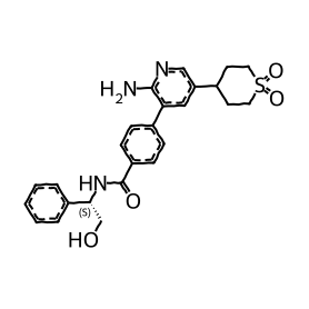 Nc1ncc(C2CCS(=O)(=O)CC2)cc1-c1ccc(C(=O)N[C@H](CO)c2ccccc2)cc1